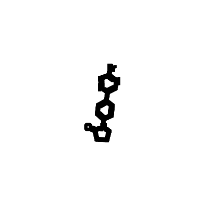 O=C1CCCN1c1ccc(-c2cnc(Br)cn2)cc1